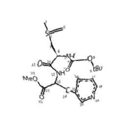 C=[Si](C)C[C@@H](NC(=O)OC(C)(C)C)C(=O)NC(Cc1cccnc1)C(=O)OC